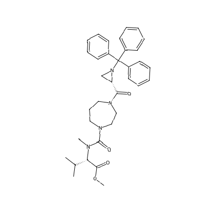 COC(=O)[C@H](C(C)C)N(C)C(=O)N1CCCN(C(=O)[C@@H]2CN2C(c2ccccc2)(c2ccccc2)c2ccccc2)CC1